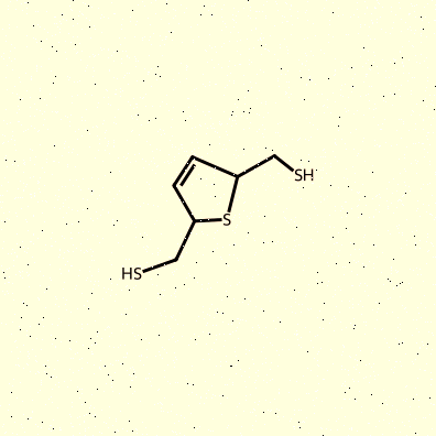 SCC1C=CC(CS)S1